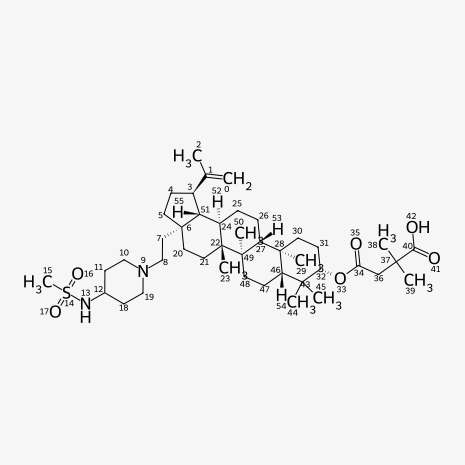 C=C(C)[C@@H]1CC[C@]2(CCN3CCC(NS(C)(=O)=O)CC3)CC[C@]3(C)[C@H](CC[C@@H]4[C@@]5(C)CC[C@H](OC(=O)CC(C)(C)C(=O)O)C(C)(C)[C@@H]5CC[C@]43C)[C@@H]12